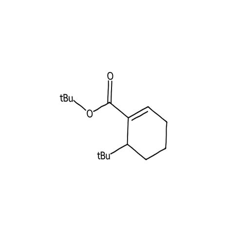 CC(C)(C)OC(=O)C1=CCCCC1C(C)(C)C